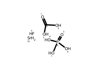 F.O=C(O)O.O=P(O)(O)O.[SrH2]